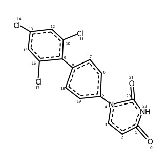 O=c1ccn(-c2ccc(-c3c(Cl)cc(Cl)cc3Cl)cc2)c(=O)[nH]1